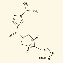 CC(C)n1cnc(C(=O)N2C[C@@H]3C(c4nnn[nH]4)[C@@H]3C2)c1